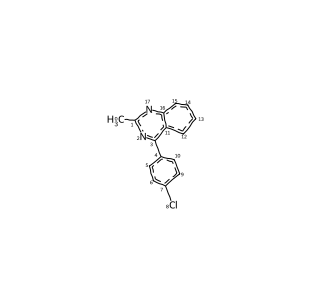 Cc1nc(-c2ccc(Cl)cc2)c2ccccc2n1